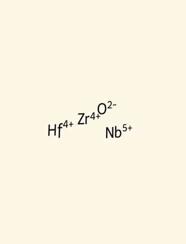 [Hf+4].[Nb+5].[O-2].[Zr+4]